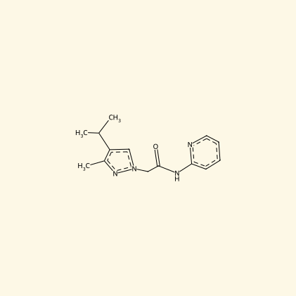 Cc1nn(CC(=O)Nc2ccccn2)cc1C(C)C